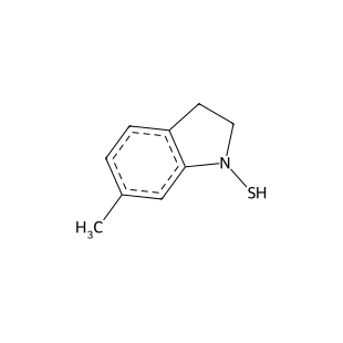 Cc1ccc2c(c1)N(S)CC2